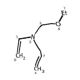 C=CN(C=C)COCC